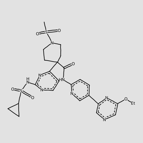 CCOc1cncc(-c2ccc(NC(=O)C3(c4ccnc(NS(=O)(=O)C5CC5)n4)CCN(S(C)(=O)=O)CC3)nc2)n1